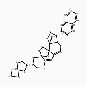 C[C@]12CC=C3C=C4CC[C@H](N5CCC6(COC6)C5)C[C@]45CCC3(O5)[C@@H]1CC[C@@H]2c1ccc2ccncc2c1